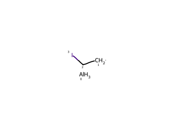 [AlH3].[CH2]CI